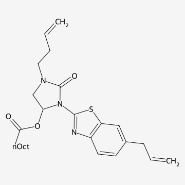 C=CCCN1CC(OC(=O)CCCCCCCC)N(c2nc3ccc(CC=C)cc3s2)C1=O